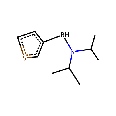 CC(C)N(Bc1ccsc1)C(C)C